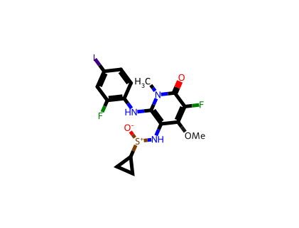 COc1c(N[S+]([O-])C2CC2)c(Nc2ccc(I)cc2F)n(C)c(=O)c1F